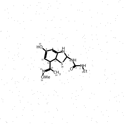 CCNC(=O)NC1NC2=CC(O)=CC(/C(C)=N/OC)C2S1